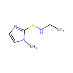 CCNSc1nccn1C